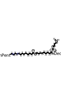 CCCCC/C=C/C/C=C/CCCCCCCC(=O)OCCCCCCCCC(CCCCCCCCCC)OC(=O)OCCCN(C)C